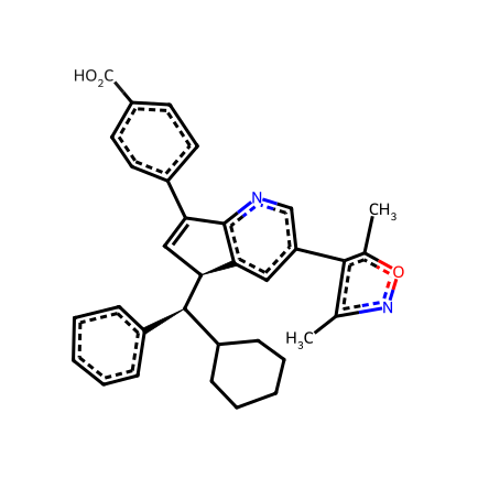 Cc1noc(C)c1-c1cnc2c(c1)[C@@H]([C@H](c1ccccc1)C1CCCCC1)C=C2c1ccc(C(=O)O)cc1